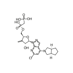 C=C1[C@@H](O)[C@H](n2ncc3c(N4C[C@H]5CCC[C@H]5C4)cc(Cl)nc32)O[C@@H]1COP(=O)(O)CP(=O)(O)O